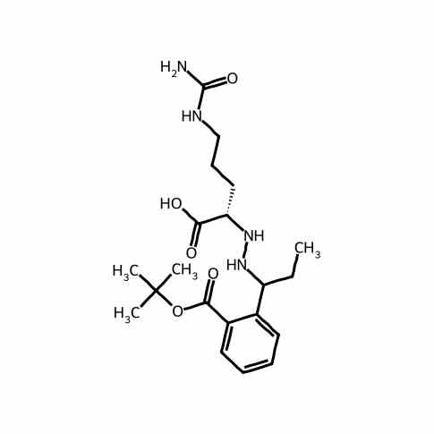 CCC(NN[C@@H](CCCNC(N)=O)C(=O)O)c1ccccc1C(=O)OC(C)(C)C